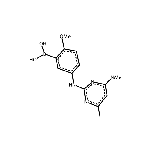 CNc1cc(C)nc(Nc2ccc(OC)c(B(O)O)c2)n1